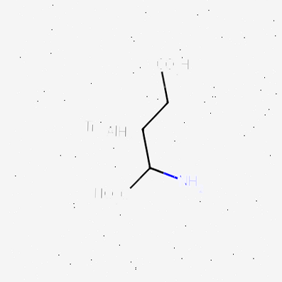 NC(CCC(=O)O)C(=O)O.[AlH3].[Ti]